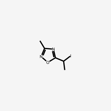 Cc1noc(C(C)I)n1